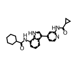 O=C(Nc1cc(-c2c[nH]c3c(NC(=O)C4CCCCC4)cccc23)ccn1)C1CC1